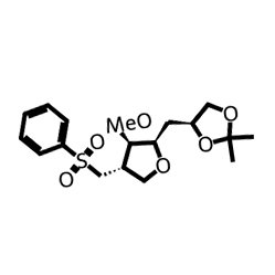 CO[C@@H]1[C@@H](CS(=O)(=O)c2ccccc2)CO[C@@H]1C[C@H]1COC(C)(C)O1